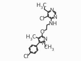 CCc1ncnc(NCCOc2nn(C)c(-c3ccc(Cl)cc3)c2C)c1Cl